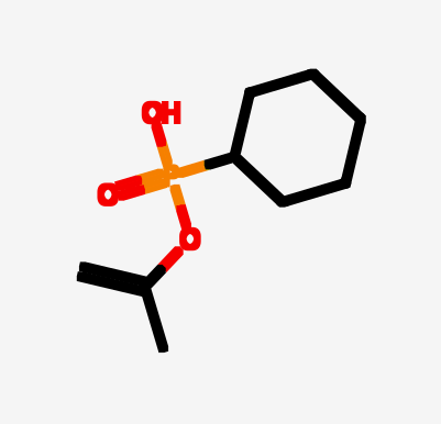 C=C(C)OP(=O)(O)C1CCCCC1